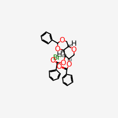 O=C(O[C@H]1CO[C@@H]2COC(c3ccccc3)O[C@@H]2[C@]1(Br)OC(=O)c1ccccc1)c1ccccc1